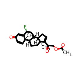 CC(=O)OCC(=O)C1=CC[C@H]2[C@@H]3C[C@H](F)C4=CC(=O)C=C[C@]4(C)[C@H]3CC[C@]12C